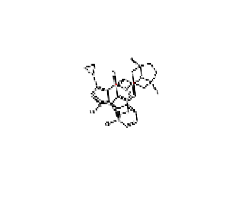 O=C(O[C@@H]1C[C@H]2CC[C@@H](C1)N2c1ccc2c(C(=O)O)noc2c1)c1c(-c2c(Cl)cccc2Cl)noc1C1CC1